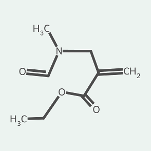 C=C(CN(C)C=O)C(=O)OCC